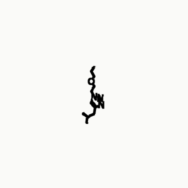 CCCOCCn1cc(CC(C)C)nn1